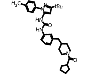 Cc1ccc(-n2nc(C(C)(C)C)cc2NC(=O)Nc2cccc(CC3CCN(C(=O)C4CCCC4)CC3)c2)cc1